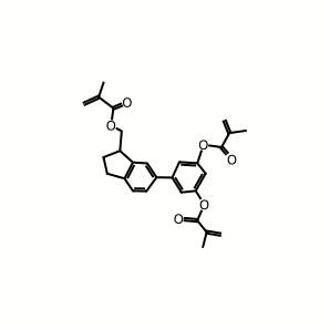 C=C(C)C(=O)OCC1CCc2ccc(-c3cc(OC(=O)C(=C)C)cc(OC(=O)C(=C)C)c3)cc21